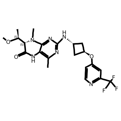 CO[C@@H](C)[C@H]1C(=O)Nc2c(C)nc(N[C@H]3C[C@H](Oc4ccnc(C(F)(F)F)c4)C3)nc2N1C